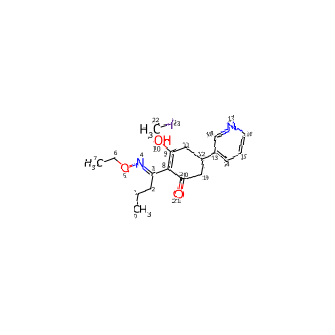 CCC/C(=N\OCC)C1=C(O)CC(c2cccnc2)CC1=O.CI